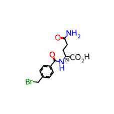 NC(=O)CC[C@H](NC(=O)c1ccc(CBr)cc1)C(=O)O